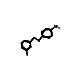 Cc1cccc(CSc2ccc(N)cc2)c1